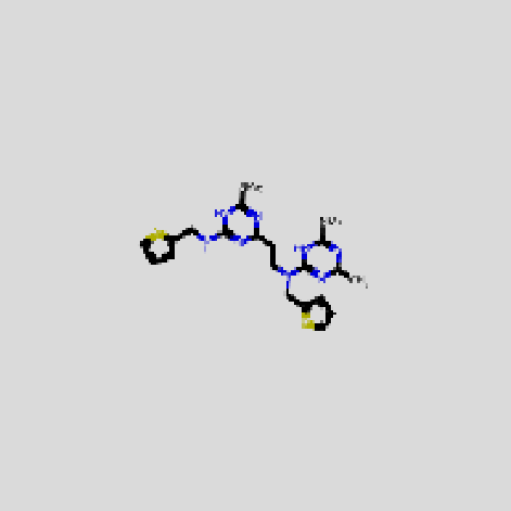 CNC1=NC(CCN(Cc2cccs2)C2=NC(C)N=C(NC)N2)N=C(NCc2cccs2)N1